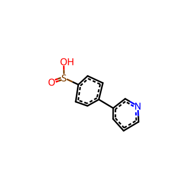 O=S(O)c1ccc(-c2cccnc2)cc1